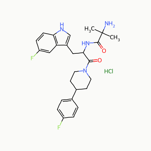 CC(C)(N)C(=O)NC(Cc1c[nH]c2ccc(F)cc12)C(=O)N1CCC(c2ccc(F)cc2)CC1.Cl